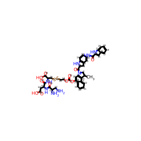 CC1CN(C(=O)C2Cc3cc(NC(=O)c4cc5ccccc5[nH]4)ccc3N2)c2cc(OC(=O)OCCSSCC(NC(=O)C(CC(=O)O)NC(=O)C(N)CN)C(=O)O)c3ccccc3c21